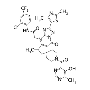 Cc1nc(C)c(-c2nc3n(CC(=O)Nc4ccc(C(F)(F)F)cc4Cl)c4c(c(=O)n3n2)C2(CCN(C(=O)c3ncnc(C)c3O)CC2)CC4C)s1